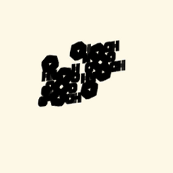 O=C1c2c(O)ccc(Nc3ccccc3)c2C(=O)c2c(Nc3ccccc3)ccc(O)c21.O=C1c2c(O)ccc(Nc3ccccc3)c2C(=O)c2c([N+](=O)[O-])ccc(O)c21